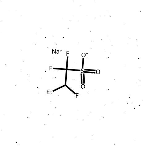 CCC(F)C(F)(F)S(=O)(=O)[O-].[Na+]